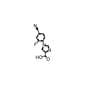 N#Cc1ccc(-n2cnc(C(=O)O)c2)c(F)c1